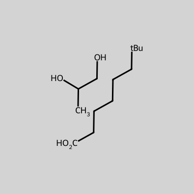 CC(C)(C)CCCCCC(=O)O.CC(O)CO